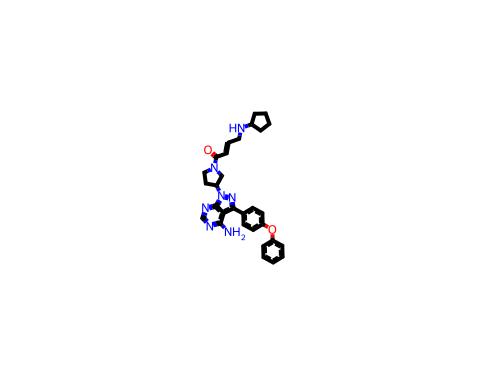 Nc1ncnc2c1c(-c1ccc(Oc3ccccc3)cc1)nn2C1CCN(C(=O)C=CCNC2CCCC2)C1